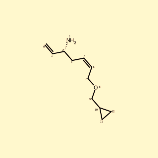 C=C[C@H](N)C/C=C\COCC1CC1